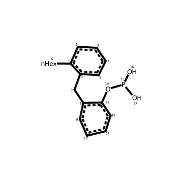 CCCCCCc1ccccc1Cc1ccccc1OP(O)O